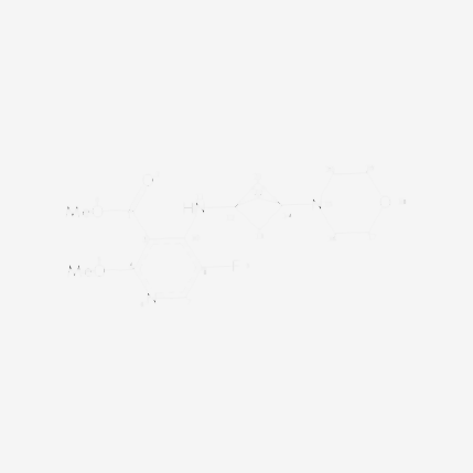 COC(=O)c1c(OC)ncc(F)c1NC12CC(N3CCOCC3)(C1)C2